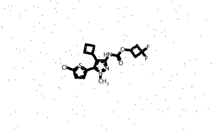 Cn1nc(NC(=O)OC2CC(F)(F)C2)c(C2CCC2)c1-c1ccc(Cl)s1